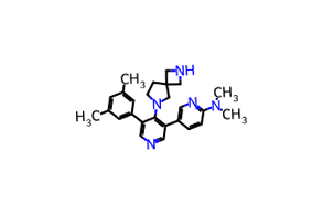 Cc1cc(C)cc(-c2cncc(-c3ccc(N(C)C)nc3)c2N2CCC3(CNC3)C2)c1